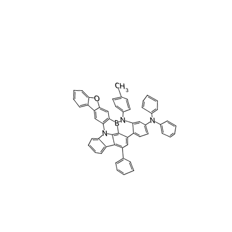 Cc1ccc(N2B3c4cc5oc6ccccc6c5cc4-n4c5ccccc5c5c(-c6ccccc6)cc(c3c54)-c3ccc(N(c4ccccc4)c4ccccc4)cc32)cc1